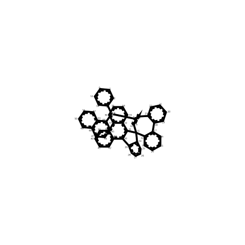 c1ccc(N(c2ccc3c(c2)C2(c4ccccc4-c4ccccc4-3)c3ccccc3-c3c2c2ccccc2c2ccccc32)c2cccc3ccccc23)cc1